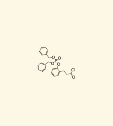 O=C(Cl)CCc1ccccc1OP(=O)(OCc1ccccc1)OCc1ccccc1